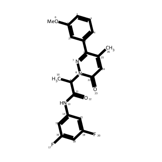 COc1cccc(-c2nn(C(C)C(=O)Nc3cc(F)cc(F)c3)c(=O)cc2C)c1